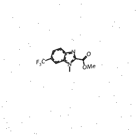 COC(=O)c1nc2ccc(C(F)(F)F)cc2n1C